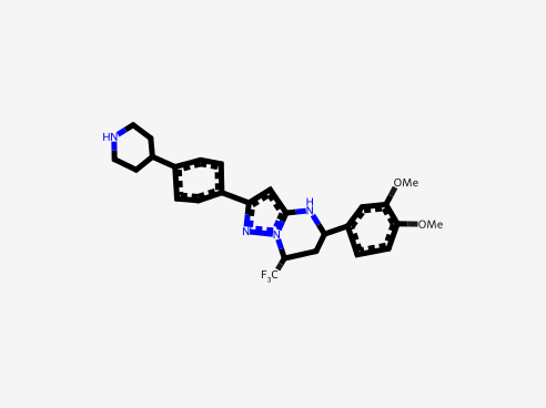 COc1ccc(C2CC(C(F)(F)F)n3nc(-c4ccc(C5CCNCC5)cc4)cc3N2)cc1OC